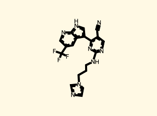 N#Cc1cnc(NCCCn2ccnc2)nc1-c1c[nH]c2ncc(C(F)(F)F)cc12